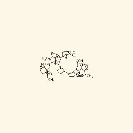 C=CC(=O)N1CCO[C@H]2CN(C(=O)N(C)C(C(=O)N[C@H]3CN4CCC=C(C4)c4ccc5c(c4)c(c(-c4cccnc4[C@H](C)OC)n5CC)CC(C)(C)COC(=O)[C@@H]4CCCN(N4)C3=O)C(C)C)C[C@H]21